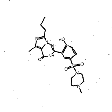 CCCc1nc(C)c2c(=O)[nH]c(-c3cc(S(=O)(=O)N4CCN(C)CC4)ccc3O)nn12